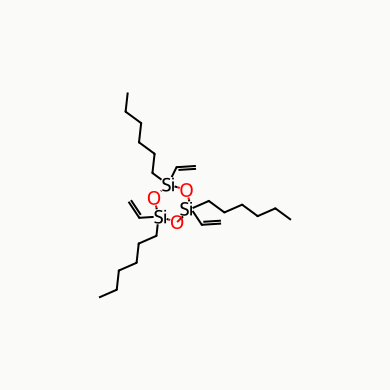 C=C[Si]1(CCCCCC)O[Si](C=C)(CCCCCC)O[Si](C=C)(CCCCCC)O1